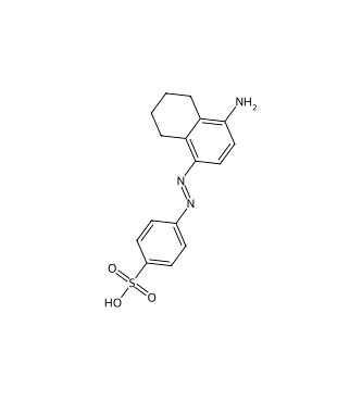 Nc1ccc(N=Nc2ccc(S(=O)(=O)O)cc2)c2c1CCCC2